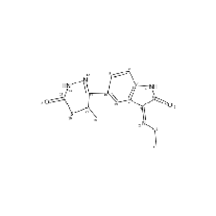 CCN=C1C(=O)Nc2ccc(C3=NNC(=O)SC3C)cc21